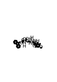 COc1cc(C)c(S(=O)(=O)NC(=N)NCCC[C@@H](NC(=O)OCC2c3ccccc3-c3ccccc32)C(=O)O)c(C)c1C